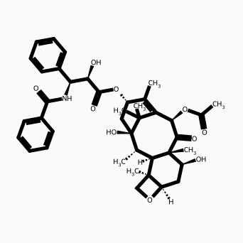 CC(=O)O[C@H]1C(=O)[C@@]2(C)[C@H]([C@H](C)[C@]3(O)C[C@H](OC(=O)[C@H](O)[C@@H](NC(=O)c4ccccc4)c4ccccc4)C(C)=C1C3(C)C)[C@]1(C)CO[C@@H]1C[C@@H]2O